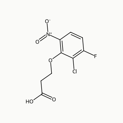 O=C(O)CCOc1c([N+](=O)[O-])ccc(F)c1Cl